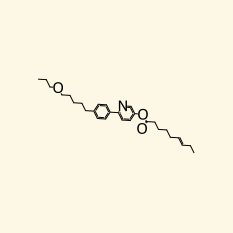 CC/C=C/CCCCC(=O)Oc1ccc(-c2ccc(CCCCCOCCC)cc2)nc1